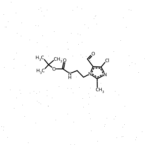 Cc1nc(Cl)c(C=O)n1CCNC(=O)OC(C)(C)C